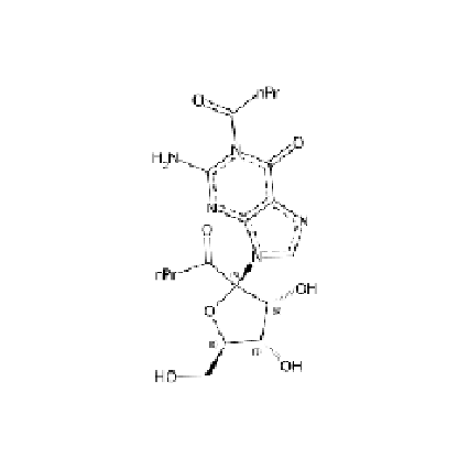 CCCC(=O)n1c(N)nc2c(ncn2[C@]2(C(=O)CCC)O[C@H](CO)[C@@H](O)[C@H]2O)c1=O